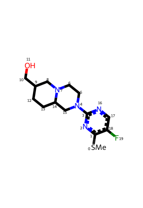 CSc1nc(N2CCN3CC(CO)CCC3C2)ncc1F